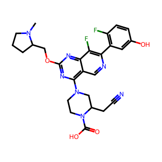 CN1CCCC1COc1nc(N2CCN(C(=O)O)C(CC#N)C2)c2cnc(-c3cc(O)ccc3F)c(F)c2n1